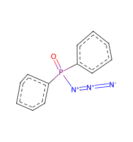 [N-]=[N+]=[N+]P(=O)(c1ccccc1)c1ccccc1